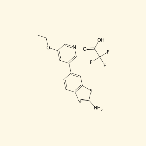 CCOc1cncc(-c2ccc3nc(N)sc3c2)c1.O=C(O)C(F)(F)F